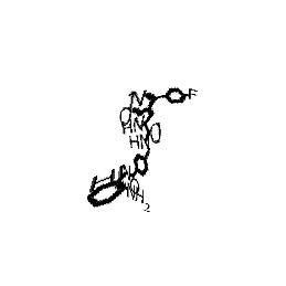 Cn1cc(-c2ccc(F)cc2)c2cc(C(=O)NCc3ccc(C(=O)Nc4ccccc4N)cc3)[nH]c2c1=O